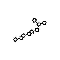 c1ccc(-c2ccc3cc(-c4ccc5nc(-c6cccc(-c7cc(-c8ccccn8)nc(-c8ccccn8)c7)c6)ccc5c4)ccc3n2)cc1